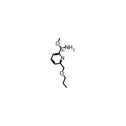 CCCOCc1cccc([C@H](N)OC)n1